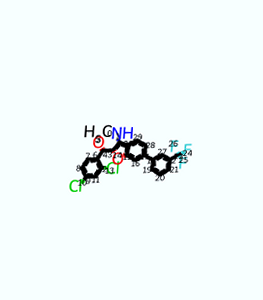 CNc1c(C(=O)c2ccc(Cl)cc2Cl)oc2cc(-c3cccc(C(F)(F)F)c3)ccc12